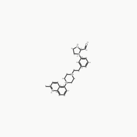 Cc1ccc2c(N3CCN(CCc4cccc(N5CCOC5C=O)c4)CC3)cccc2n1